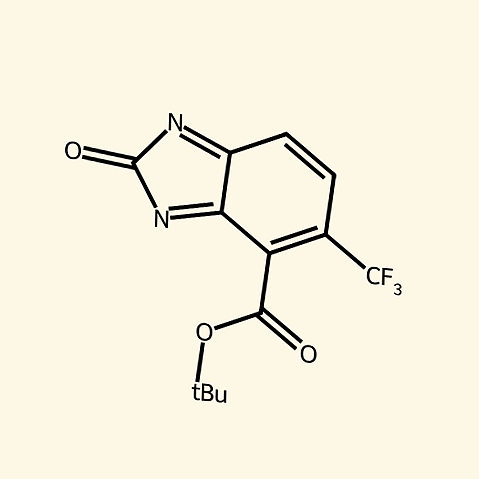 CC(C)(C)OC(=O)c1c(C(F)(F)F)ccc2c1=NC(=O)N=2